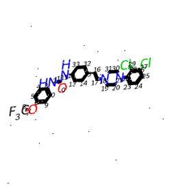 O=C(Nc1ccc(OC(F)(F)F)cc1)N[C@H]1CC[C@H](CCN2CCN(c3cccc(Cl)c3Cl)CC2)CC1